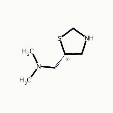 CN(C)C[C@H]1CNCS1